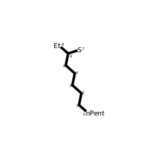 CCCCCCCCCCC([S])CC